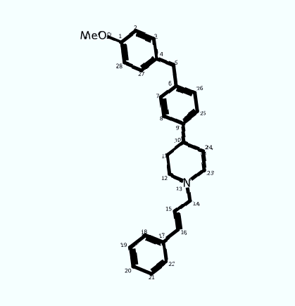 COc1ccc(Cc2ccc(C3CCN(C/C=C/c4ccccc4)CC3)cc2)cc1